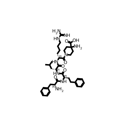 CC(C)C[C@@H](NC(=O)[C@@H](CCc1ccccc1)NC(=O)[C@H](N)Cc1ccccc1)C(=O)N[C@H](CCCCNC(=N)N)C(=O)N1CCC(N)(C(=O)O)CC1